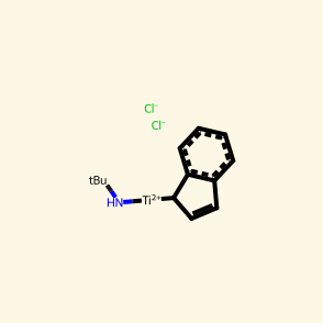 CC(C)(C)[NH][Ti+2][CH]1C=Cc2ccccc21.[Cl-].[Cl-]